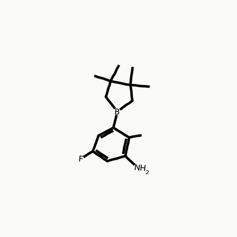 Cc1c(N)cc(F)cc1B1CC(C)(C)C(C)(C)C1